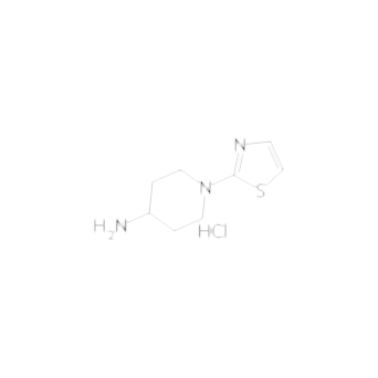 Cl.NC1CCN(c2nccs2)CC1